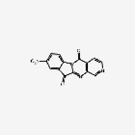 O=C1c2cc([N+](=O)[O-])ccc2-n2c1nc1cnccc1c2=O